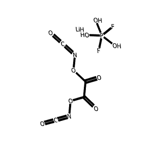 O=C=NOC(=O)C(=O)ON=C=O.OP(O)(O)(F)F.[LiH]